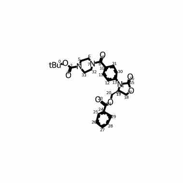 CC(C)(C)OC(=O)N1CCN(C(=O)c2ccc(N3C(=O)OC[C@H]3COC(=O)c3ccccc3)cc2)CC1